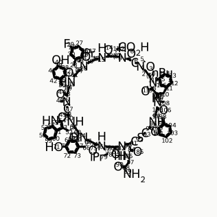 CCCC[C@H]1C(=O)N(C)CC(=O)N[C@@H](CC(=O)O)C(=O)N[C@@H](C(C)C)C(=O)N(C)[C@@H](Cc2cccc(F)c2)C(=O)N[C@@H](Cc2ccc(O)cc2)C(=O)N(C)CC(=O)N[C@@H](Cc2c[nH]c3ccccc23)C(=O)N[C@@H](Cc2ccc(O)cc2)C(=O)N[C@@H](CC(C)C)C(=O)N[C@H](C(=O)NCC(N)=O)CSCC(=O)N[C@@H](Cc2ccccc2)C(=O)N(C)[C@H]2Cc3cccc(c3)N1C2=O